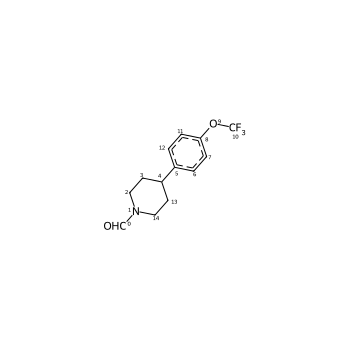 O=CN1CCC(c2ccc(OC(F)(F)F)cc2)CC1